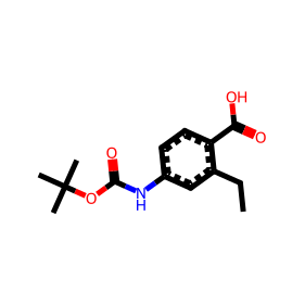 CCc1cc(NC(=O)OC(C)(C)C)ccc1C(=O)O